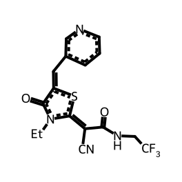 CCn1c(=O)/c(=C/c2cccnc2)s/c1=C(/C#N)C(=O)NCC(F)(F)F